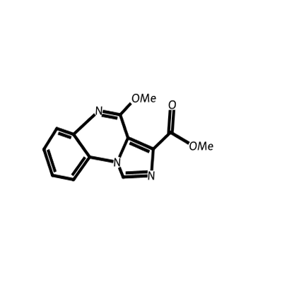 COC(=O)c1ncn2c1c(OC)nc1ccccc12